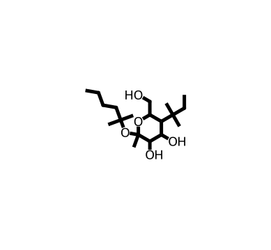 CCCCC(C)(C)OC1(C)OC(CO)C(C(C)(C)CC)C(O)C1O